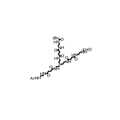 CC(=O)NCCNC(=O)CCC(=O)NCCN(CCNC(=O)CCC(=O)NCCNC=O)CCNC(=O)CCC(=O)NCCNC(=O)C(C)(C)C